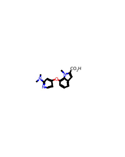 CN(C)c1cc(Oc2cccc3cc(C(=O)O)n(C)c23)ccn1